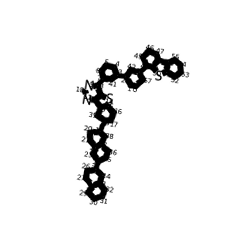 c1cc(-c2cccc(-c3ncnc4c3sc3ccc(-c5ccc6cc(-c7ccc8ccccc8c7)ccc6c5)cc34)c2)cc(-c2cccc3c2sc2ccccc23)c1